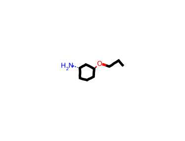 CCCO[C@@H]1CCC[C@H](N)C1